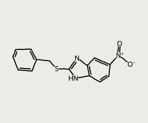 O=[N+]([O-])c1ccc2[nH]c(SCc3ccccc3)nc2c1